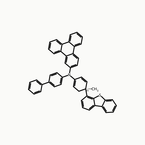 C[C@@]1(c2cccc3c2sc2ccccc23)C=CC(N(c2ccc(-c3ccccc3)cc2)c2ccc3c4ccccc4c4ccccc4c3c2)=CC1